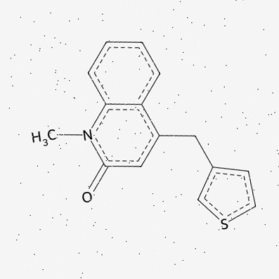 Cn1c(=O)cc(Cc2ccsc2)c2ccccc21